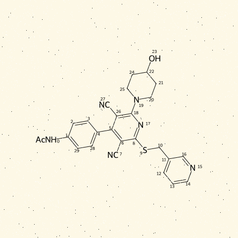 CC(=O)Nc1ccc(-c2c(C#N)c(SCc3cccnc3)nc(N3CCC(O)CC3)c2C#N)cc1